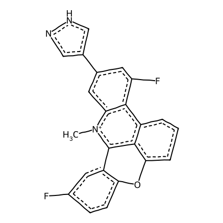 C[n+]1c2c3c(cccc3c3c(F)cc(-c4cn[nH]c4)cc31)Oc1ccc(F)cc1-2